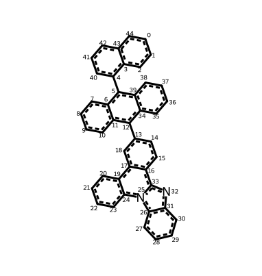 c1ccc2c(-c3c4ccccc4c(-c4ccc5c(c4)c4ccccc4n4c6ccccc6nc54)c4ccccc34)cccc2c1